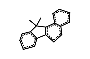 CC1(C)c2cc[c]cc2-c2ccc3ccccc3c21